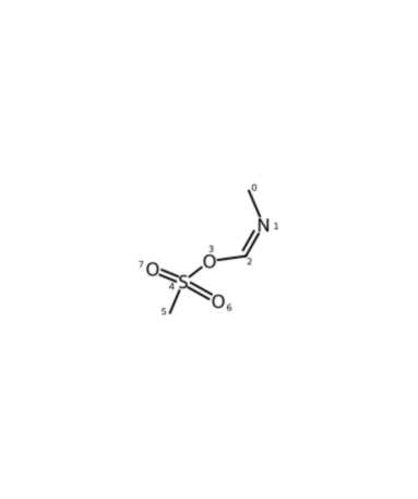 C/N=C\OS(C)(=O)=O